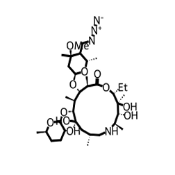 CC[C@H]1OC(=O)[C@H](C)[C@@H](O[C@H]2C[C@@](C)(OC)C(CN=[N+]=[N-])[C@H](C)O2)[C@H](C)[C@@H](O[C@@H]2O[C@H](C)CC[C@H]2O)[C@](C)(O)C[C@@H](C)CN[C@H](C)[C@@H](O)[C@]1(C)O